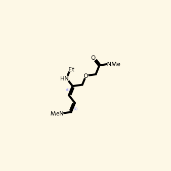 CCN/C(=C/C=C\NC)COCC(=O)NC